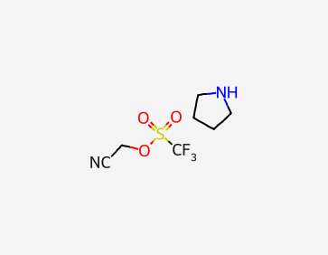 C1CCNC1.N#CCOS(=O)(=O)C(F)(F)F